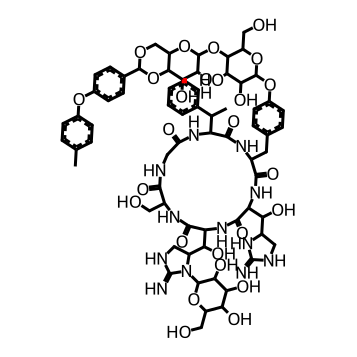 Cc1ccc(Oc2ccc(C3OCC4OC(OC5C(CO)OC(Oc6ccc(CC7NC(=O)C(C(C)c8ccccc8)NC(=O)CNC(=O)C(CO)NC(=O)C(C(O)C8CNC(=N)N8C8OC(CO)C(O)C(O)C8O)NC(=O)C(C(O)C8CNC(=N)N8)NC7=O)cc6)C(O)C5O)C(O)C(O)C4O3)cc2)cc1